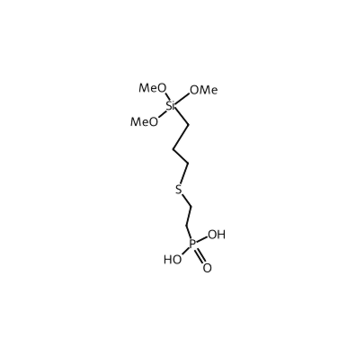 CO[Si](CCCSCCP(=O)(O)O)(OC)OC